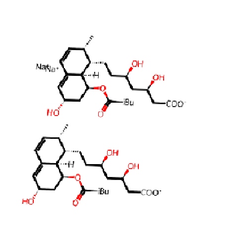 CC[C@H](C)C(=O)O[C@H]1C[C@H](O)C=C2C=C[C@H](C)[C@H](CC[C@@H](O)C[C@@H](O)CC(=O)[O-])[C@H]21.CC[C@H](C)C(=O)O[C@H]1C[C@H](O)C=C2C=C[C@H](C)[C@H](CC[C@@H](O)C[C@@H](O)CC(=O)[O-])[C@H]21.[Na+].[Na+]